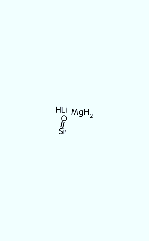 O=[Si].[LiH].[MgH2]